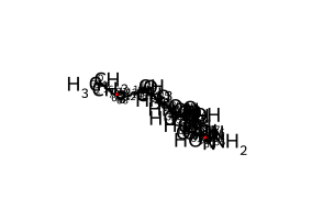 CC(C)(C)CCCCc1ccc(CCCCC(C)(C)C(=O)CCNC(=O)CCNC(=O)C(O)C(C)(C)COP(=O)(O)OP(=O)(O)OCC2OC(n3cnc4c(N)ncnc43)C(O)C2OP(=O)(O)O)cc1